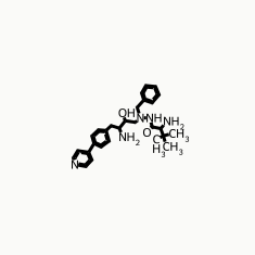 CC(C)(C)C(N)C(=O)NN(Cc1ccccc1)CC(O)C(N)Cc1ccc(-c2ccncc2)cc1